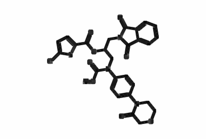 COC(=O)N(CC(CN1C(=O)c2ccccc2C1=O)OC(=O)c1ccc(Cl)s1)c1ccc(N2CCOCC2=O)cc1